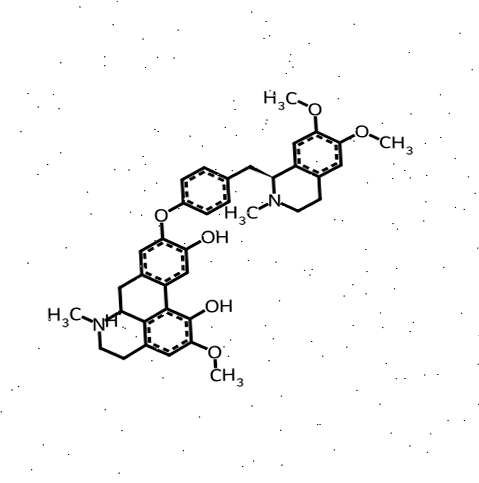 COc1cc2c(cc1OC)[C@H](Cc1ccc(Oc3cc4c(cc3O)-c3c(O)c(OC)cc5c3[C@@H](C4)N(C)CC5)cc1)N(C)CC2